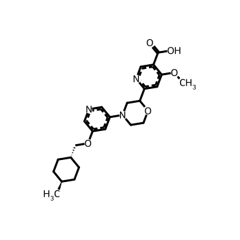 COc1cc(C2CN(c3cncc(OC[C@H]4CC[C@H](C)CC4)c3)CCO2)ncc1C(=O)O